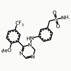 COc1ccc(C(F)(F)F)cc1C1=NC=NCN1Nc1cccc(CS(N)(=O)=O)c1